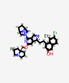 CCc1c(F)ccc2cc(O)cc(CCC3N=Cc4c3cc(OC[C@@]35CCCN3C[C@H](F)C5)nc4N3CC4CCC(C3)N4)c12